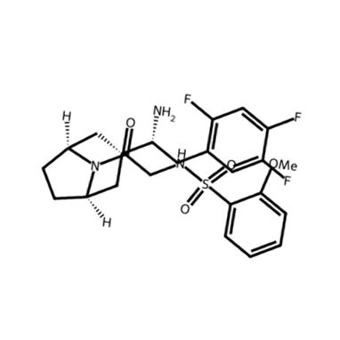 COc1ccccc1S(=O)(=O)NCC(=O)N1[C@@H]2CC[C@H]1C[C@H]([C@H](N)Cc1cc(F)c(F)cc1F)C2